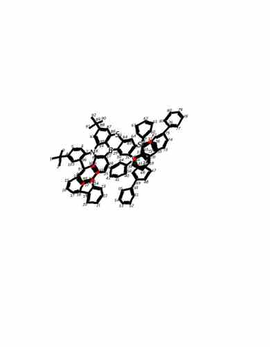 CC(C)(C)c1ccc(N2c3cc(-n4c5ccccc5c5ccccc54)ccc3B3c4cc([Si](c5ccccc5)(c5ccccc5)c5cccc(-c6ccccc6)c5)c([Si](c5ccccc5)(c5ccccc5)c5cccc(-c6ccccc6)c5)cc4Sc4cc(C(C)(C)C)cc2c43)c(-c2ccccc2)c1